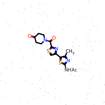 CC(=O)Nc1nc(C)c(-c2csc(C(=O)N3CCC(=O)CC3)n2)s1